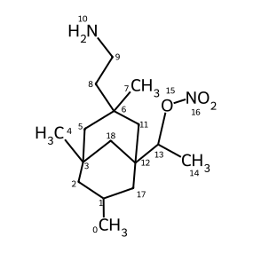 CC1CC2(C)CC(C)(CCN)CC(C(C)O[N+](=O)[O-])(C1)C2